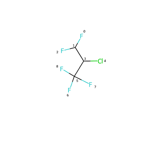 FC(F)C(Cl)C(F)(F)F